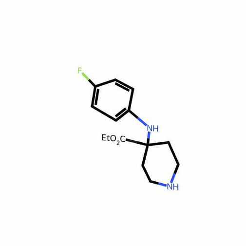 CCOC(=O)C1(Nc2ccc(F)cc2)CCNCC1